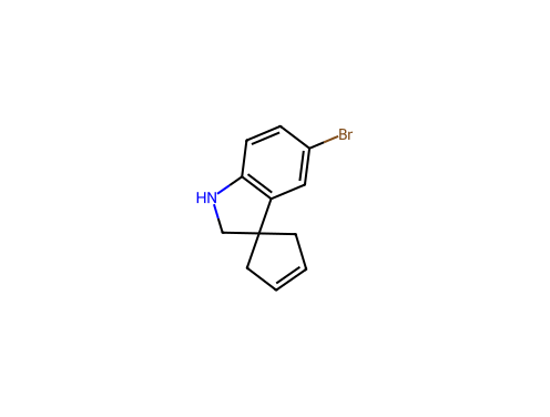 Brc1ccc2c(c1)C1(CC=CC1)CN2